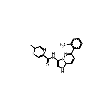 CC1C=NC(C(=O)NC2=CNC3C=CC(c4ccccc4C(F)(F)F)=NN23)=CN1